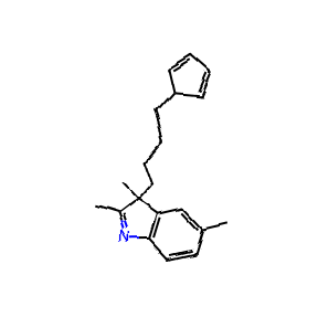 CC1=Nc2ccc(C)cc2C1(C)CCCCC1C=CC=C1